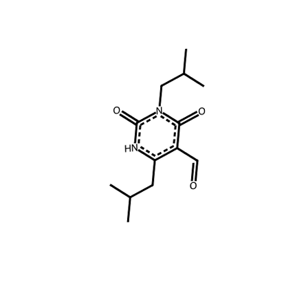 CC(C)Cc1[nH]c(=O)n(CC(C)C)c(=O)c1C=O